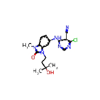 Cn1c(=O)n(CCC(C)(C)O)c2cc(Nc3ncnc(Cl)c3C#N)ccc21